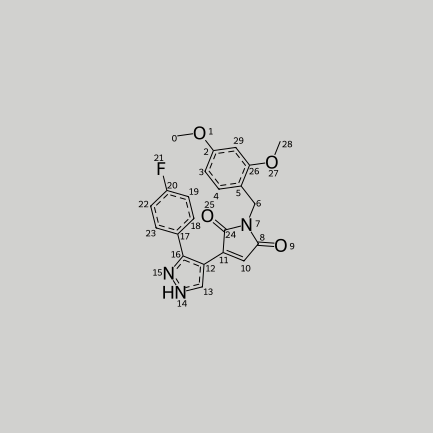 COc1ccc(CN2C(=O)C=C(c3c[nH]nc3-c3ccc(F)cc3)C2=O)c(OC)c1